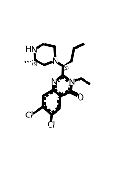 CCC[C@@H](c1nc2cc(Cl)c(Cl)cc2c(=O)n1CC)N1CCN[C@@H](C)C1